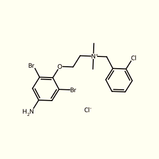 C[N+](C)(CCOc1c(Br)cc(N)cc1Br)Cc1ccccc1Cl.[Cl-]